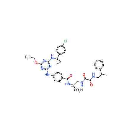 CC(CNC(=O)C(=O)NC[C@H](NC(=O)c1ccc(Nc2nc(NC3(c4ccc(Cl)cc4)CC3)nc(OCC(F)(F)F)n2)cc1)C(=O)O)c1ccccc1